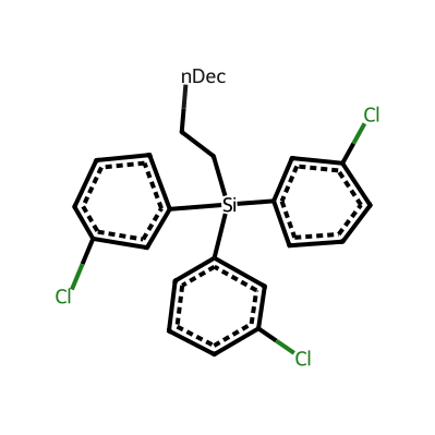 CCCCCCCCCCCC[Si](c1cccc(Cl)c1)(c1cccc(Cl)c1)c1cccc(Cl)c1